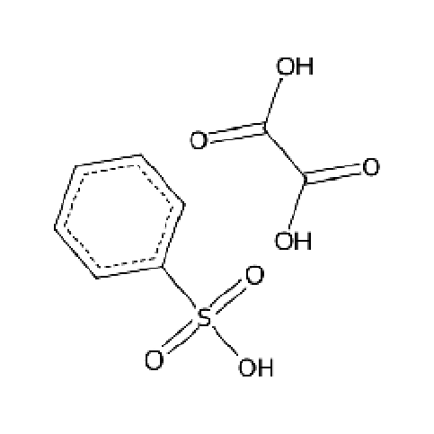 O=C(O)C(=O)O.O=S(=O)(O)c1ccccc1